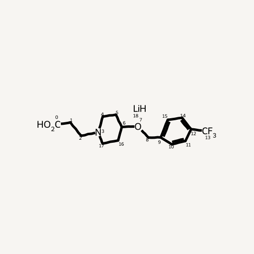 O=C(O)CCN1CCC(OCc2ccc(C(F)(F)F)cc2)CC1.[LiH]